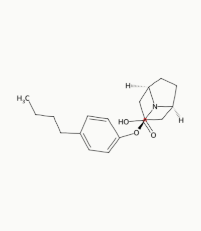 CCCCc1ccc(O[C@H]2C[C@H]3CC[C@@H](C2)N3C(=O)O)cc1